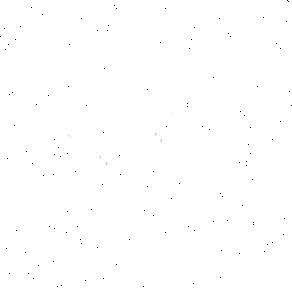 O=C(/C=C/c1ccc(Br)cc1)N1CCC2(CC1)CN(Cc1ccc(Cl)cc1)C2